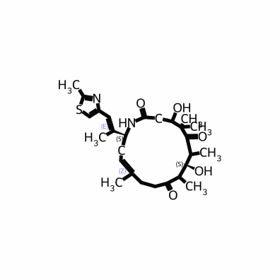 C/C1=C/C[C@@H](/C(C)=C/c2csc(C)n2)NC(=O)CC(O)C(C)(C)C(=O)C(C)[C@@H](O)C(C)C(=O)CC1